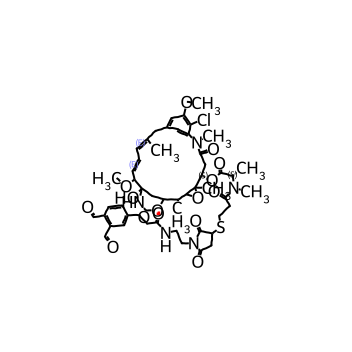 COc1cc2cc(c1Cl)N(C)C(=O)C[C@H](OC(=O)[C@H](C)N(C)C(=O)CCSC1CC(=O)N(CCNC(=O)CCc3ccc(C=O)c(C=O)c3)C1=O)C1(C)OC1C(C)C1CC(O)(NC(=O)O1)C(OC)/C=C/C=C(\C)C2